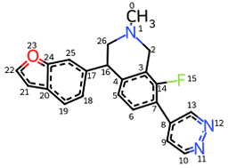 CN1Cc2c(ccc(-c3ccnnc3)c2F)C(c2ccc3ccoc3c2)C1